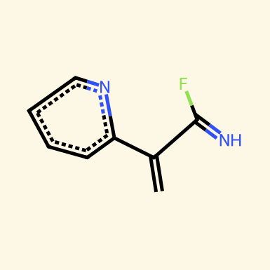 C=C(C(=N)F)c1ccccn1